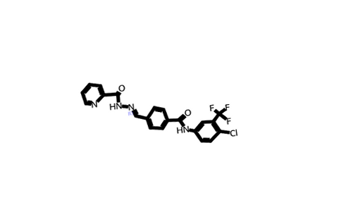 O=C(Nc1ccc(Cl)c(C(F)(F)F)c1)c1ccc(/C=N/NC(=O)c2ccccn2)cc1